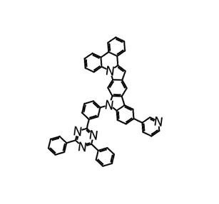 c1ccc(-c2nc(-c3ccccc3)nc(-c3cccc(-n4c5ccc(-c6cccnc6)cc5c5cc6cc7c8ccccc8c8ccccc8n7c6cc54)c3)n2)cc1